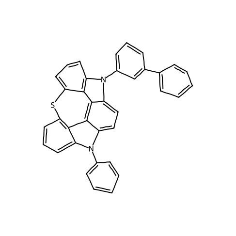 c1ccc(-c2cccc(-n3c4cccc5sc6cccc7c6c6c(c54)c3ccc6n7-c3ccccc3)c2)cc1